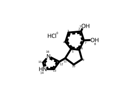 Cl.Oc1ccc2c(c1O)CCC2c1c[nH]cn1